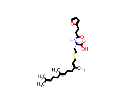 CC(C)=CCC/C(C)=C/CC/C(C)=C/CSCC[C@H](NC(=O)CCc1ccco1)C(=O)O